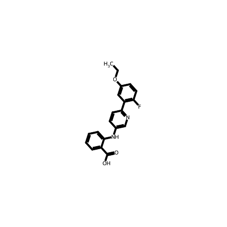 CCOc1ccc(F)c(-c2ccc(Nc3ccccc3C(=O)O)cn2)c1